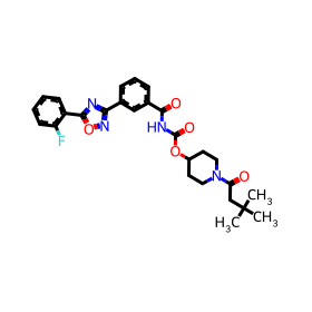 CC(C)(C)CC(=O)N1CCC(OC(=O)NC(=O)c2cccc(-c3noc(-c4ccccc4F)n3)c2)CC1